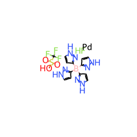 F.O=S(=O)(O)C(F)(F)F.[Pd].c1cc([B-](c2cc[nH]n2)(c2cc[nH]n2)c2cc[nH]n2)n[nH]1